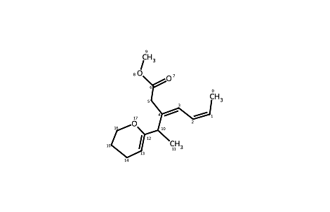 C/C=C\C=C(\CC(=O)OC)C(C)C1=CCCCO1